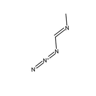 CN=CN=[N+]=[N-]